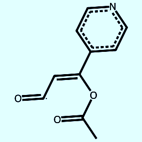 CC(=O)OC(=C[C]=O)c1ccncc1